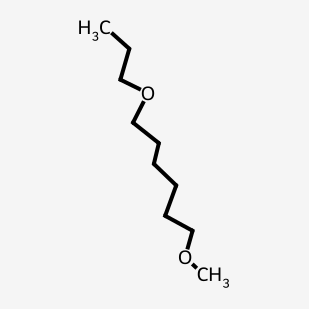 CCCOCCCCCCOC